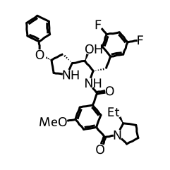 CC[C@H]1CCCN1C(=O)c1cc(OC)cc(C(=O)N[C@@H](Cc2cc(F)cc(F)c2)[C@H](O)[C@H]2C[C@@H](Oc3ccccc3)CN2)c1